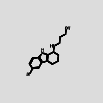 OCCCNC1CCCc2c1[nH]c1ccc(Br)cc21